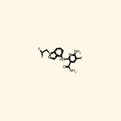 NC(=O)c1cc(F)c(N)nc1Nc1cccc2c1cnn2CC(F)F